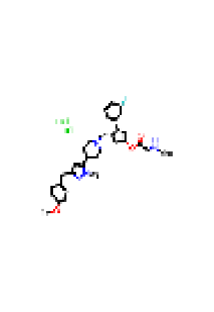 CCOc1ccc(Cc2cc(C3CCN(C[C@H]4C[C@H](OC(=O)CNC(C)(C)C)C[C@@H]4c4cccc(F)c4)CC3)n(CC)n2)cc1.Cl.Cl.Cl